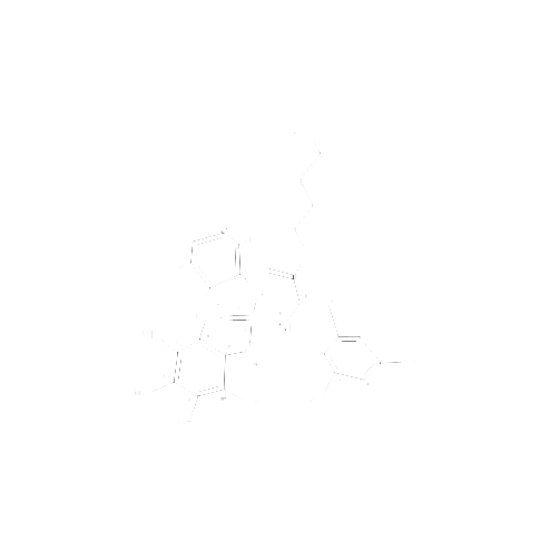 CCCCCCCCCCCCCCOC(=O)[C@H](Cc1cc(F)cc(F)c1)N[P@](=O)(Oc1ccccc1)Oc1c(F)c(F)c(F)c(F)c1F